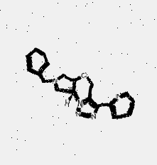 c1ccc(CN2CC3OCc4c(-c5ccccn5)nnn4[C@@H]3C2)cc1